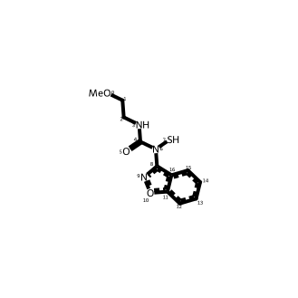 COCCNC(=O)N(S)c1noc2ccccc12